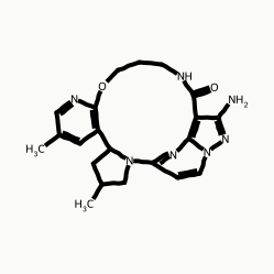 Cc1cnc2c(c1)C1CC(C)CN1c1ccn3nc(N)c(c3n1)C(=O)NCCCO2